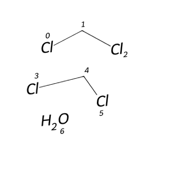 ClCCl.ClCCl.O